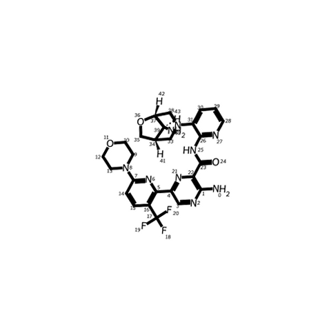 Nc1ncc(-c2nc(N3CCOCC3)ccc2C(F)(F)F)nc1C(=O)Nc1ncccc1N1C[C@@H]2CO[C@H](C1)[C@H]2N